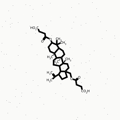 C=C(C)C1CCC2(COC(=O)CCC(=O)O)CC[C@]3(C)C(CCC4[C@@]5(C)CCC(OC(=O)CCC(=O)O)C(C)(C)C5CC[C@]43C)C12